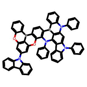 c1ccc(N2c3ccccc3B3c4ccc5c(c4N(c4ccccc4)c4c3c2cc2c4c3ccccc3n2-c2ccccc2)Oc2cc(-n3c4ccccc4c4ccccc43)cc3c2B5c2ccccc2O3)cc1